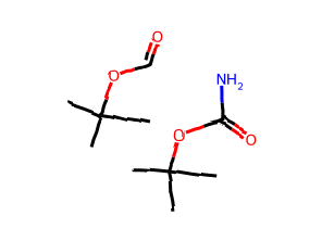 CC(C)(C)OC(N)=O.CC(C)(C)OC=O